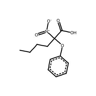 CCCCC(Oc1ccccc1)(C(=O)O)[N+](=O)[O-]